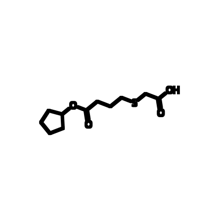 O=C(O)CSCCCC(=O)OC1CCCC1